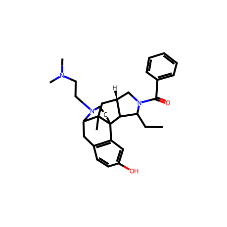 CCC1C2[C@@H](CN1C(=O)c1ccccc1)CC1(C)C3Cc4ccc(O)cc4C21CCN3CCN(C)C